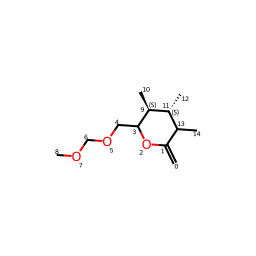 C=C1OC(COCOC)[C@@H](C)[C@H](C)C1C